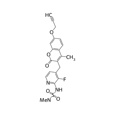 C#CCOc1ccc2c(C)c(Cc3ccnc(NS(=O)(=O)NC)c3F)c(=O)oc2c1